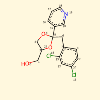 OCC1COC(Cc2ccc(Cl)cc2Cl)(c2cccnc2)O1